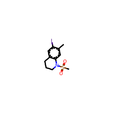 Cc1cc2c(cc1I)CCCN2S(C)(=O)=O